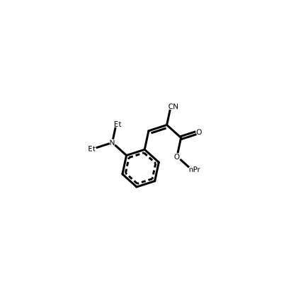 CCCOC(=O)C(C#N)=Cc1ccccc1N(CC)CC